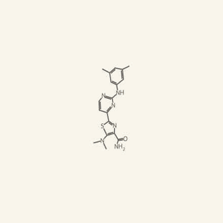 Cc1cc(C)cc(Nc2nccc(-c3nc(C(N)=O)c(N(C)C)s3)n2)c1